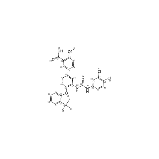 COc1ccc(-c2ccc(Oc3ccccc3C(C)(C)C)c(NC(=O)Nc3ccc(Cl)c(Cl)c3)c2)cc1C(=O)O